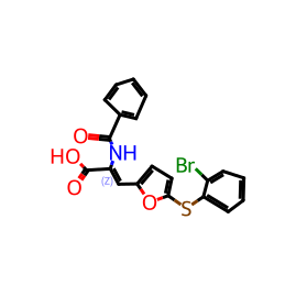 O=C(O)/C(=C/c1ccc(Sc2ccccc2Br)o1)NC(=O)c1ccccc1